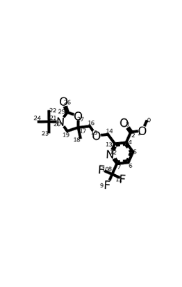 COC(=O)c1ccc(C(F)(F)F)nc1COCC1(C)CN(C(C)(C)C)C(=O)O1